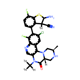 [2H]C1(C#N)c2c(-c3c(Cl)cc4c5c(cnc4c3F)N(C([2H])([2H])[2H])C(=O)[C@H]3CN[C@H](C)CN53)ccc(F)c2SC1N